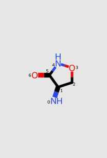 N=C1CONC1=O